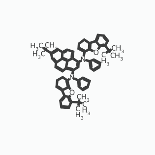 CC(C)(C)c1cc2ccc3c(N(C4=CCCc5c4oc4c(C(C)(C)C)cccc54)c4ccccc4)cc(N(C4=c5oc6c(C(C)(C)C)cccc6c5=CCC4)c4ccccc4)c4ccc(c1)c2c34